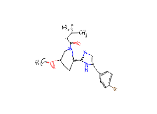 COC1CC(c2ncc(-c3ccc(Br)cc3)[nH]2)N(C(=O)[CH]C(C)C)C1